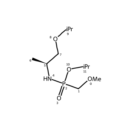 COCP(=O)(N[C@@H](C)COC(C)C)OC(C)C